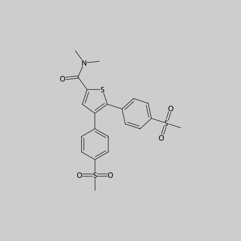 CN(C)C(=O)c1cc(-c2ccc(S(C)(=O)=O)cc2)c(-c2ccc(S(C)(=O)=O)cc2)s1